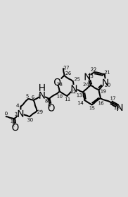 CC(=O)N1CCC(NC(=O)C2CN(c3ccc(C#N)c4nccnc34)CC(C)O2)CC1